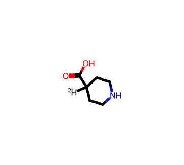 [2H]C1(C(=O)O)CCNCC1